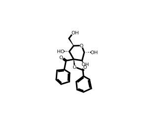 O=C(O[C@@]1(C(=O)c2ccccc2)[C@H](O)[C@@H](CO)O[C@H](O)[C@@H]1O)c1ccccc1